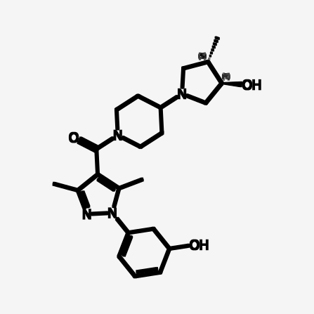 Cc1nn(C2=CC=CC(O)C2)c(C)c1C(=O)N1CCC(N2C[C@H](C)[C@@H](O)C2)CC1